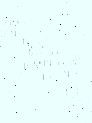 CCOc1nc(N2CCN(C(=O)OC)CC2)ccc1C(=O)NC[C@@H](O)[C@@H]1Cc2ccc(O)cc2CN1C(=O)OC(C)(C)C